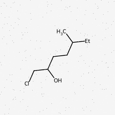 CCC(C)CCC(O)CCl